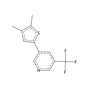 Cc1cc(-c2cncc(C(F)(F)F)c2)sc1C